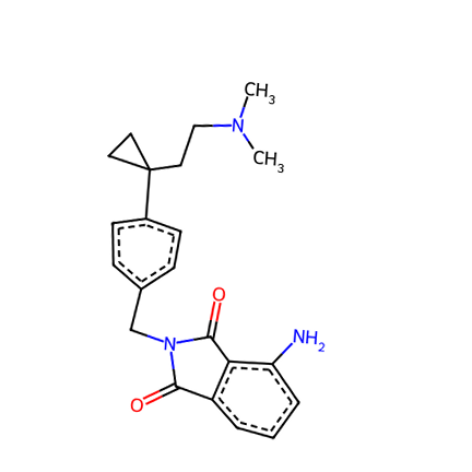 CN(C)CCC1(c2ccc(CN3C(=O)c4cccc(N)c4C3=O)cc2)CC1